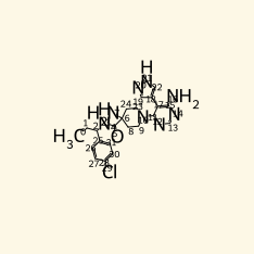 CCC(NC(=O)C1(N)CCN(c2ncnc(N)c2-c2cn[nH]c2)CC1)c1ccc(Cl)cc1